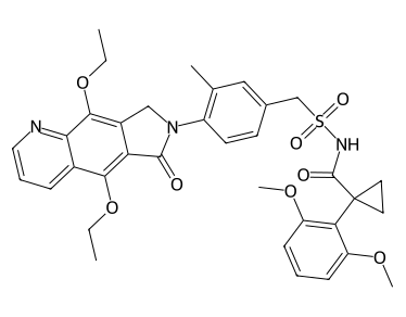 CCOc1c2c(c(OCC)c3ncccc13)CN(c1ccc(CS(=O)(=O)NC(=O)C3(c4c(OC)cccc4OC)CC3)cc1C)C2=O